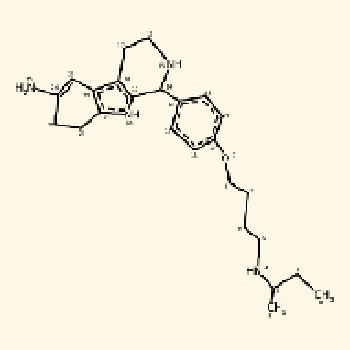 CCC(C)NCCCCOc1ccc(C2NCCc3c2[nH]c2c3C=C(N)CC2)cc1